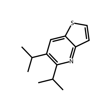 CC(C)c1cc2sccc2nc1C(C)C